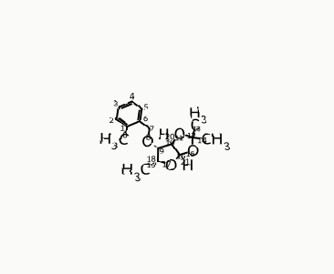 Cc1ccccc1CO[C@@H]1[C@H]2OC(C)(C)O[C@H]2O[C@@H]1C